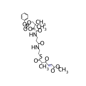 COC(=O)/C=C/C(=O)C(C)C(=O)SCCNC(=O)CCNC(=O)[C@@H]1OP(=O)(Oc2ccccc2)OCC1(C)C